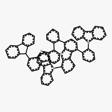 c1ccc(-c2ccc(-c3ccccc3-n3c4ccccc4c4ccccc43)c3c2sc2c(-n4c5ccccc5c5ccccc54)cccc23)c(-c2cccc3c2sc2c(C4c5ccccc5-c5ccccc54)cccc23)c1